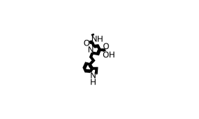 CNC(=O)c1cc(C(=O)O)cc(CCc2cccc3c2CCN3)n1